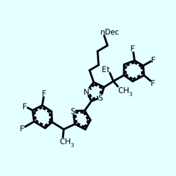 CCCCCCCCCCCCCCc1nc(-c2ccc(C(C)c3cc(F)c(F)c(F)c3)s2)sc1C(C)(CC)c1cc(F)c(F)c(F)c1